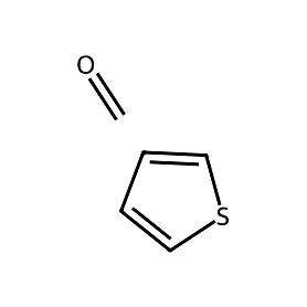 C=O.c1ccsc1